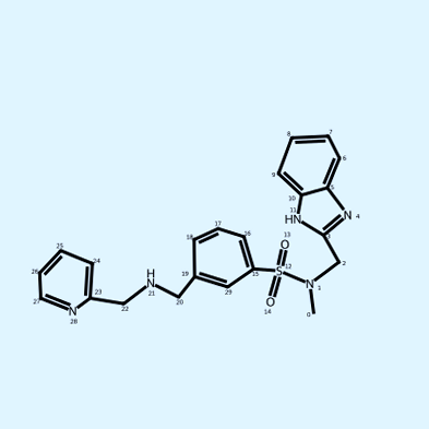 CN(Cc1nc2ccccc2[nH]1)S(=O)(=O)c1cccc(CNCc2ccccn2)c1